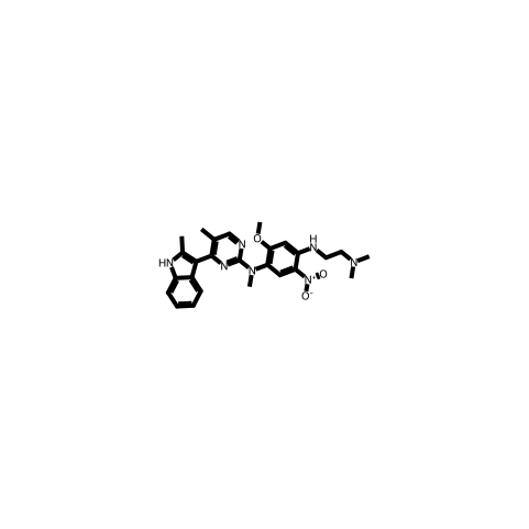 COc1cc(NCCN(C)C)c([N+](=O)[O-])cc1N(C)c1ncc(C)c(-c2c(C)[nH]c3ccccc23)n1